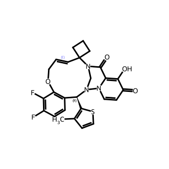 Cc1ccsc1[C@H]1c2ccc(F)c(F)c2OC/C=C/C2(CCC2)N2CN1n1ccc(=O)c(O)c1C2=O